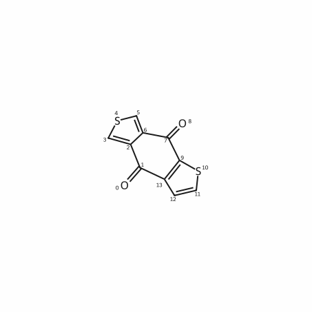 O=C1c2cscc2C(=O)c2sccc21